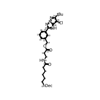 CCCCCCCCCCCCCCCC(=O)NCCC(=O)OCc1cccc(-c2nn3nc(C(C)(C)C)c(Cl)c3[nH]2)c1